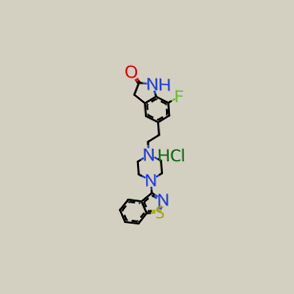 Cl.O=C1Cc2cc(CCN3CCN(c4nsc5ccccc45)CC3)cc(F)c2N1